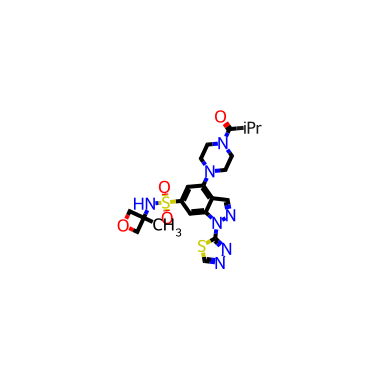 CC(C)C(=O)N1CCN(c2cc(S(=O)(=O)NC3(C)COC3)cc3c2cnn3-c2nncs2)CC1